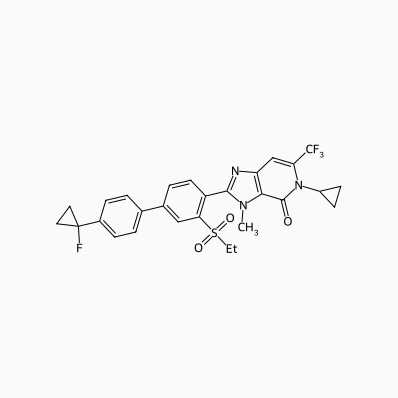 CCS(=O)(=O)c1cc(-c2ccc(C3(F)CC3)cc2)ccc1-c1nc2cc(C(F)(F)F)n(C3CC3)c(=O)c2n1C